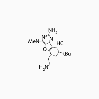 CNc1nc(N)nc2c3c(oc12)C(CCN)CC(C(C)(C)C)C3.Cl